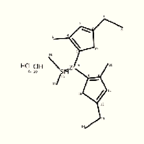 CCC1=CC(C)=[C]([Zr]([C]2=C(C)C=C(CC)C2)[SiH](C)C)C1.Cl.Cl